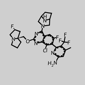 Cc1cc(N)nc(-c2c(F)cc3c(N4CC5CCC(C4)N5)nc(OC[C@@]45CCCN4C[C@H](F)C5)nc3c2Cl)c1C(F)(F)F